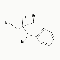 OC(CBr)(CBr)C(Br)c1ccccc1